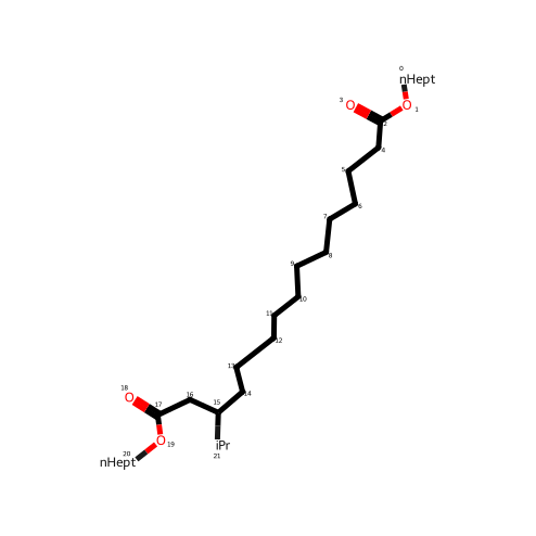 CCCCCCCOC(=O)CCCCCCCCCCCC(CC(=O)OCCCCCCC)C(C)C